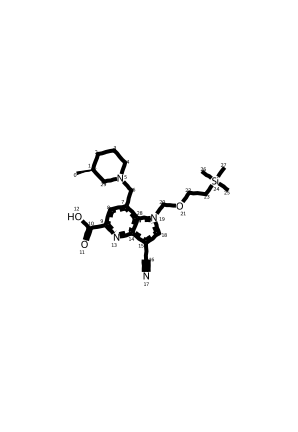 C[C@H]1CCCN(Cc2cc(C(=O)O)nc3c(C#N)cn(COCC[Si](C)(C)C)c23)C1